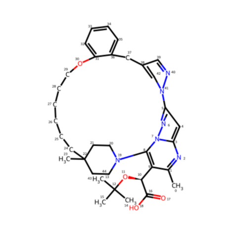 Cc1nc2cc3nn2c(c1[C@H](OC(C)(C)C)C(=O)O)N1CCC(C)(CCCCCCOc2ccccc2Cc2cnn-3c2)CC1